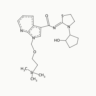 C[Si](C)(C)CCOCn1cc(C(=O)/N=C2\SCCN2C2CCCC2O)c2cccnc21